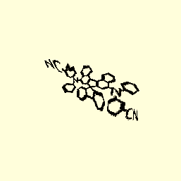 N#Cc1cccc(N(c2ccccc2)c2cc3c(c4ccccc24)-c2c(cc(N(c4ccccc4)c4cccc(C#N)c4)c4ccccc24)C32c3ccccc3-c3ccccc32)c1